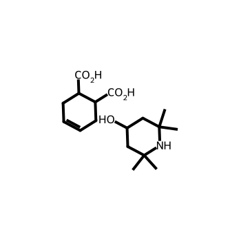 CC1(C)CC(O)CC(C)(C)N1.O=C(O)C1CC=CCC1C(=O)O